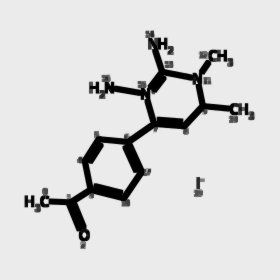 CC(=O)c1ccc(C2=CC(C)N(C)C(N)=[N+]2N)cc1.[I-]